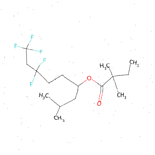 CCC(C)(C)C(=O)OC(CCC(F)(F)CC(F)(F)F)CC(C)C